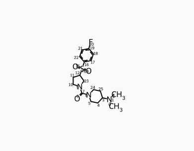 CN(C)C1CCN(C(=O)N2CCC(S(=O)(=O)c3ccc(F)cc3)C2)CC1